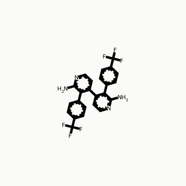 Nc1nccc(-c2ccnc(N)c2-c2ccc(C(F)(F)F)cc2)c1-c1ccc(C(F)(F)F)cc1